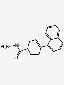 NNC(=O)C1CC=C(c2cccc3ccccc23)CC1